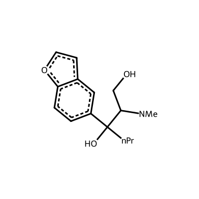 CCCC(O)(c1ccc2occc2c1)C(CO)NC